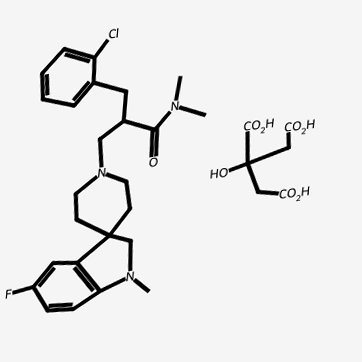 CN(C)C(=O)C(Cc1ccccc1Cl)CN1CCC2(CC1)CN(C)c1ccc(F)cc12.O=C(O)CC(O)(CC(=O)O)C(=O)O